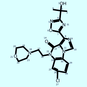 CC(C)(O)c1noc(-c2ncn3c2c(=O)n(CCN2CCOCC2)c2cc(Cl)ccc23)n1